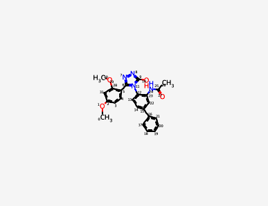 COc1ccc(-c2nnc(O)n2-c2ccc(-c3ccccc3)cc2NC(C)=O)c(OC)c1